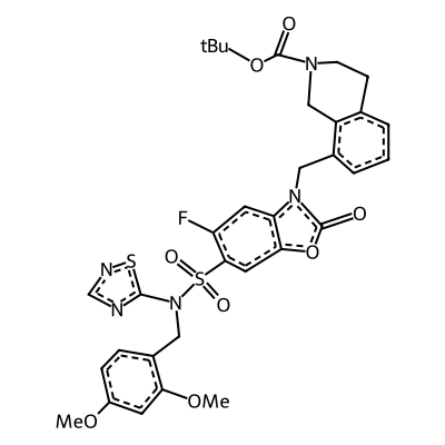 COc1ccc(CN(c2ncns2)S(=O)(=O)c2cc3oc(=O)n(Cc4cccc5c4CN(C(=O)OC(C)(C)C)CC5)c3cc2F)c(OC)c1